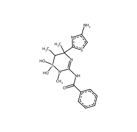 CC1C(C)(c2nc(N)cs2)N=C(NC(=O)c2ccccc2)N(C)S1(O)O